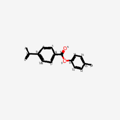 C=C(C)c1ccc(C(=O)Oc2ccc(C)cc2)cc1